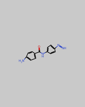 N=Nc1ccc(NC(=O)c2ccc(N)cc2)cc1